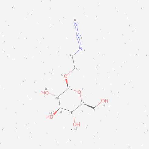 [N-]=[N+]=NCCO[C@H]1O[C@@H](CO)[C@H](O)[C@@H](O)[C@@H]1O